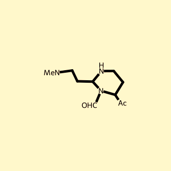 CNCCC1NCCC(C(C)=O)N1C=O